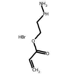 Br.C=CC(=O)OCCPN